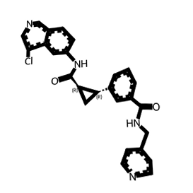 O=C(NCc1ccncc1)c1cccc([C@@H]2C[C@H]2C(=O)Nc2ccc3cncc(Cl)c3c2)c1